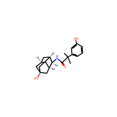 CC(C)(C(=O)N[C@H]1[C@@H]2C[C@@H]3C[C@@H]1C[C@](O)(C2)C3)c1cccc(O)c1